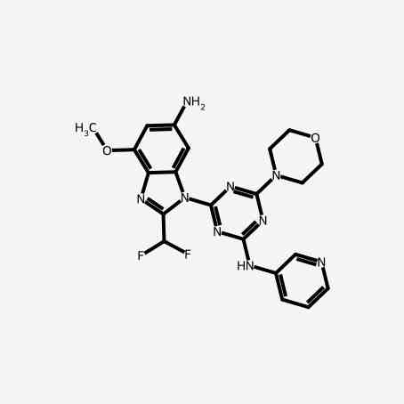 COc1cc(N)cc2c1nc(C(F)F)n2-c1nc(Nc2cccnc2)nc(N2CCOCC2)n1